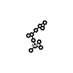 c1ccc(-c2cc(-c3ccccc3-c3ccccc3)nc(-c3ccc(-c4cc(-c5ccc(-c6ccc7c8c(cccc68)-c6ccccc6-7)cc5)cc5ccccc45)cc3)n2)cc1